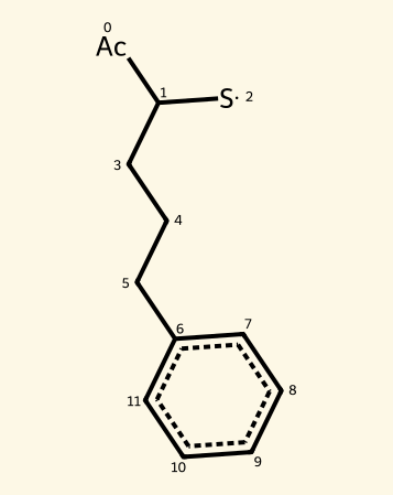 CC(=O)C([S])CCCc1ccccc1